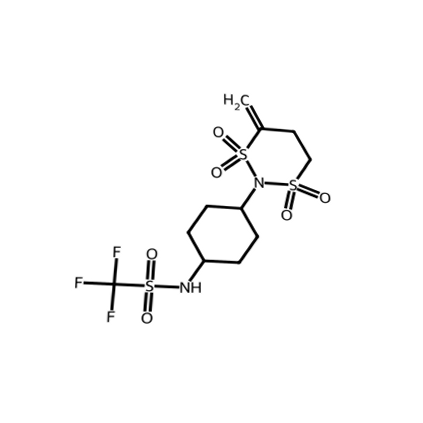 C=C1CCS(=O)(=O)N(C2CCC(NS(=O)(=O)C(F)(F)F)CC2)S1(=O)=O